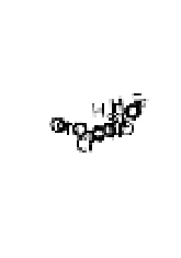 C[C@H]1CC(F)(F)CC[C@H]1C(=O)Nc1cc2cc(C3CCN(C4COC4)CC3)c(Cl)cc2cn1